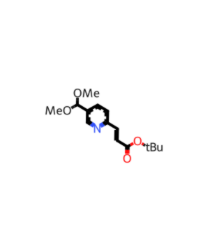 COC(OC)c1ccc(C=CC(=O)OC(C)(C)C)nc1